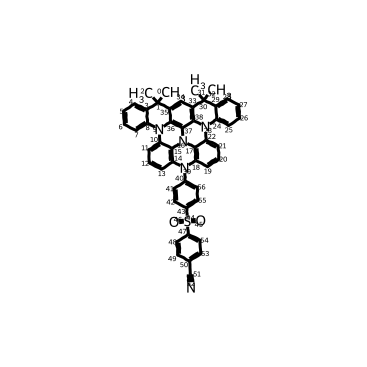 CC1(C)c2ccccc2N2c3cccc4c3N3c5c(cccc5N5c6ccccc6C(C)(C)c6cc1c2c3c65)N4c1ccc(S(=O)(=O)c2ccc(C#N)cc2)cc1